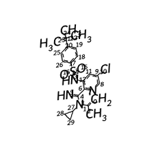 C=C(C)N(C(=N)c1ncc(Cl)cc1NS(=O)(=O)c1ccc(C(C)(C)C)cc1)C1CC1